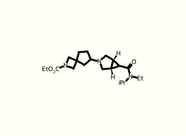 CCOC(=O)N1CC2(CCC(N3C[C@@H]4C(C(=O)N(CC)C(C)C)[C@@H]4C3)C2)C1